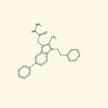 Cc1c(CC(=O)NN)c2cc(-c3ccccc3)ccc2n1CCc1ccccc1